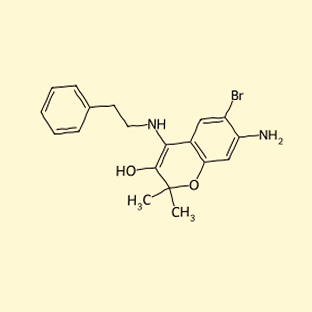 CC1(C)Oc2cc(N)c(Br)cc2C(NCCc2ccccc2)=C1O